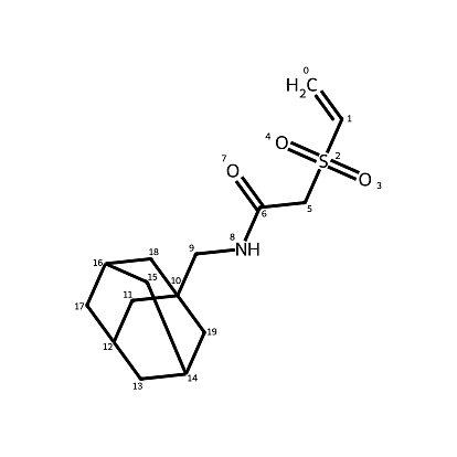 C=CS(=O)(=O)CC(=O)NCC12CC3CC(CC(C3)C1)C2